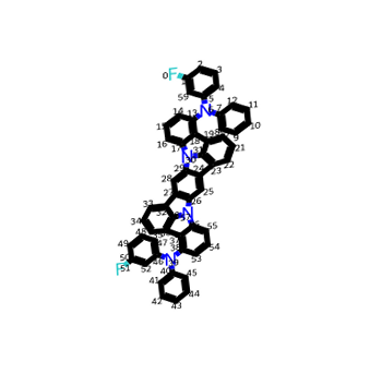 Fc1cccc(N(c2ccccc2)c2cccc3c2c2cccc4c5cc6c(cc5n3c42)c2cccc3c4c(N(c5ccccc5)c5cccc(F)c5)cccc4n6c23)c1